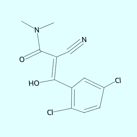 CN(C)C(=O)/C(C#N)=C(\O)c1cc(Cl)ccc1Cl